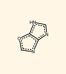 [c]1nc2nc[nH]c2o1